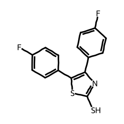 Fc1ccc(-c2nc(S)sc2-c2ccc(F)cc2)cc1